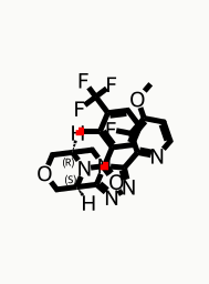 COc1ccnc(-c2nnc3n2C[C@@H]2COC[C@H]3N2C(=O)c2cccc(C(F)(F)F)c2C)c1F